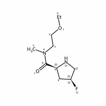 CCOCCN(C)C(=O)[C@@H]1C[C@H](F)CN1